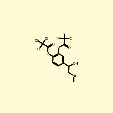 CNCC(O)c1ccc(OC(=O)C(Cl)(Cl)Cl)c(OC(=O)C(Cl)(Cl)Cl)c1